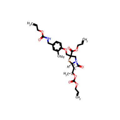 C=CCOC(=O)NCc1ccc(OCC2(C(=O)OCC=C)CN3C(=O)[C@H]([C@@H](C)OC(=O)OCC=C)[C@H]3S2)c(OC)c1